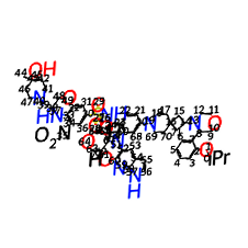 CC(C)Oc1ccccc1[C@@H]1COCCN1C1CC2(CCN(c3ccc(C(=O)NS(=O)(=O)c4cc5c(c([N+](=O)[O-])c4)N[C@H](CN4CCC(C)(O)CC4)CO5)c(N4c5cc6cc[nH]c6nc5O[C@H]5COCC[C@@H]54)c3)CC2)C1